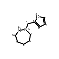 c1coc(CN2CCCCC[N]2)c1